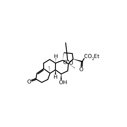 CCOC(=O)C(=O)[C@@]12CC[C@@]3(OC(C)O1)[C@@H]1CCC4=CC(=O)CC[C@]4(C)[C@H]1[C@H](O)C[C@]23C